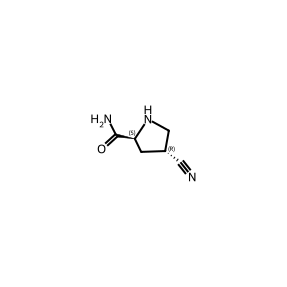 N#C[C@H]1CN[C@H](C(N)=O)C1